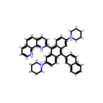 c1ccc2cc(-c3c4cc(N5CCCCC5)ccc4c(-c4ccc5ccc6cccnc6c5n4)c4cc(N5CCCCC5)ccc34)ccc2c1